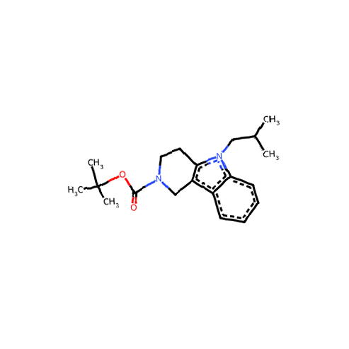 CC(C)Cn1c2c(c3ccccc31)CN(C(=O)OC(C)(C)C)CC2